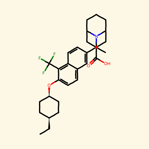 CC[C@H]1CC[C@@H](Oc2ccc3cc(C(C)N4C5CCCC4CC(C(=O)O)C5)ccc3c2C(F)(F)F)CC1